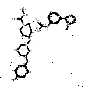 Cn1nnnc1-c1cccc(NC(=O)N[C@H]2CN(C(=O)OC(C)(C)C)CC[C@H]2CN2CCCC(Cc3ccc(F)cc3)C2)c1